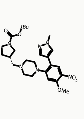 COc1cc(N2CCN(C[C@@H]3CCN(C(=O)OC(C)(C)C)C3)CC2)c(-c2cnn(C)c2)cc1[N+](=O)[O-]